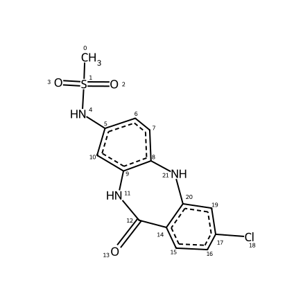 CS(=O)(=O)Nc1ccc2c(c1)NC(=O)c1ccc(Cl)cc1N2